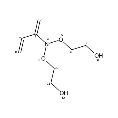 C=CC(=C)N(OCCO)OCCO